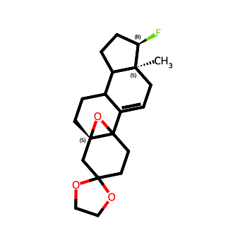 C[C@]12CC=C3C(CC[C@]45CC6(CCC34O5)OCCO6)C1CC[C@H]2F